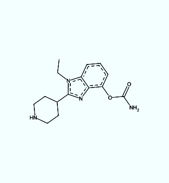 CCn1c(C2CCNCC2)nc2c(OC(N)=O)cccc21